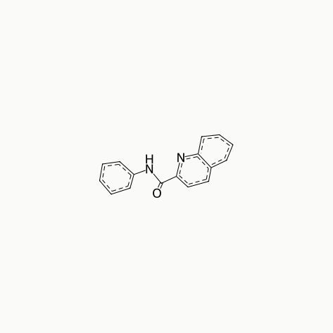 O=C(Nc1ccccc1)c1ccc2ccccc2n1